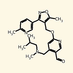 Cc1ccc(-c2noc(C)c2COc2cc(CN(C)CC(C)C)c(C=O)cn2)cn1